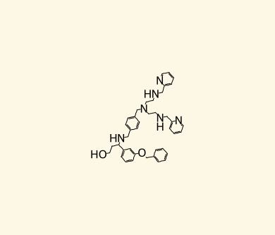 OCCC(NCc1ccc(CN(CCNCc2ccccn2)CCNCc2ccccn2)cc1)c1cccc(OCc2ccccc2)c1